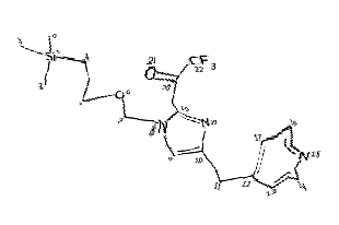 C[Si](C)(C)CCOCn1cc(Cc2ccncc2)nc1C(=O)C(F)(F)F